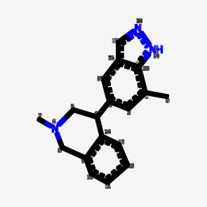 Cc1cc(C2CN(C)Cc3ccccc32)cc2cn[nH]c12